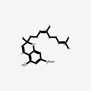 CCCCCc1cc(O)c2c(c1)OC(C)(CCC=C(C)CCC=C(C)C)C=C2